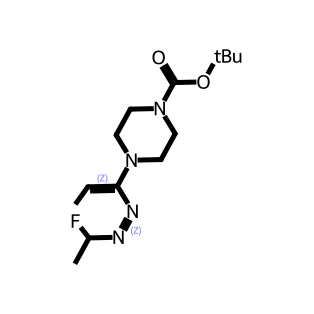 C/C=C(\N=N/C(C)F)N1CCN(C(=O)OC(C)(C)C)CC1